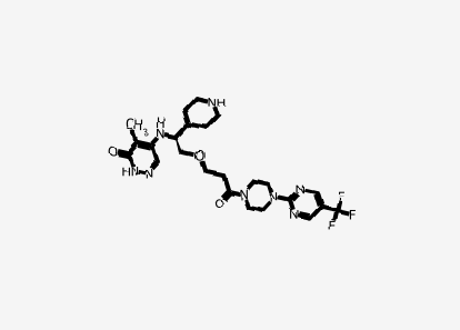 Cc1c(N[C@H](COCCC(=O)N2CCN(c3ncc(C(F)(F)F)cn3)CC2)C2CCNCC2)cn[nH]c1=O